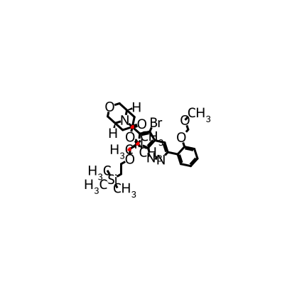 COCOc1ccccc1-c1cc2c(Br)c(C3C[C@H]4COC[C@@H](C3)N4C(=O)OC(C)(C)C)n(COCC[Si](C)(C)C)c2nn1